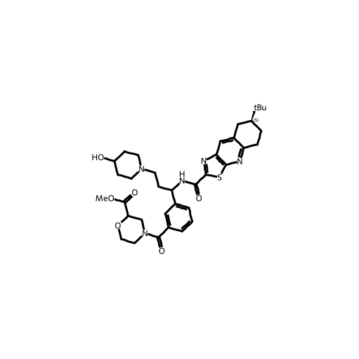 COC(=O)C1CN(C(=O)c2cccc(C(CCN3CCC(O)CC3)NC(=O)c3nc4cc5c(nc4s3)CC[C@H](C(C)(C)C)C5)c2)CCO1